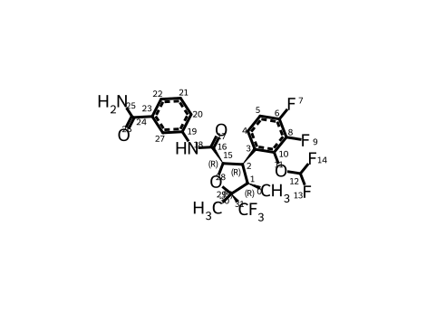 C[C@@H]1[C@H](c2ccc(F)c(F)c2OC(F)F)[C@H](C(=O)Nc2cccc(C(N)=O)c2)O[C@]1(C)C(F)(F)F